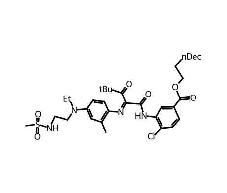 CCCCCCCCCCCCOC(=O)c1ccc(Cl)c(NC(=O)C(=Nc2ccc(N(CC)CCNS(C)(=O)=O)cc2C)C(=O)C(C)(C)C)c1